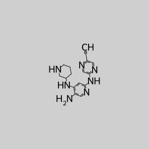 C#Cc1cnc(Nc2cc(NC3CCCNC3)c(N)cn2)cn1